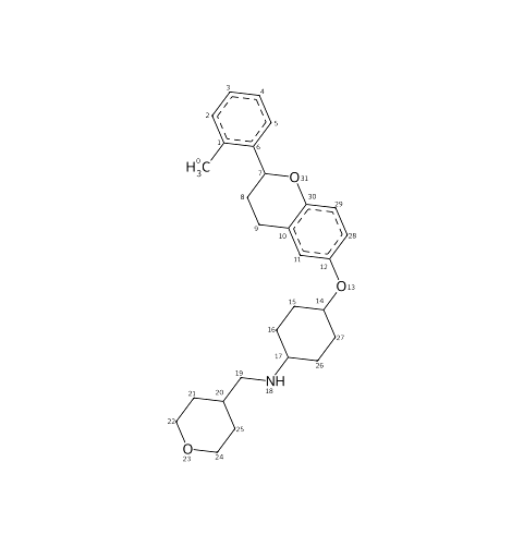 Cc1ccccc1C1CCc2cc(OC3CCC(NCC4CCOCC4)CC3)ccc2O1